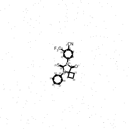 N#Cc1ccc(N2C(=O)C3(CCC3)N(c3c[c]ccc3)C2=S)cc1C(F)(F)F